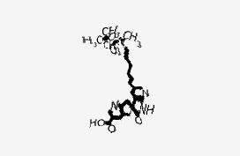 CN(CCCC/C=C/c1cnc2c(c1)[C@@]1(Cc3cc(C(=O)O)cnc3C1)C(=O)N2)C(=O)OC(C)(C)C